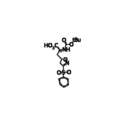 CC(C)(C)OC(=O)N[C@@H](CC1CC(S(=O)(=O)c2ccccc2)=NO1)C(=O)O